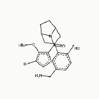 CCCCOc1c(Br)csc1C(=O)N1C2CCC1CC(c1cc(CN)ccc1F)C2.Cl